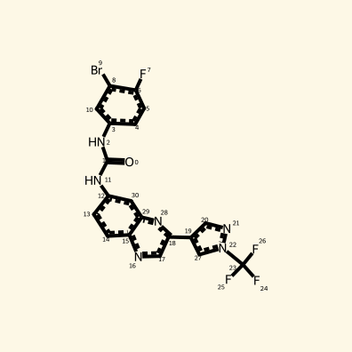 O=C(Nc1ccc(F)c(Br)c1)Nc1ccc2ncc(-c3cnn(C(F)(F)F)c3)nc2c1